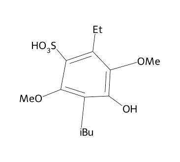 CCc1c(OC)c(O)c(C(C)CC)c(OC)c1S(=O)(=O)O